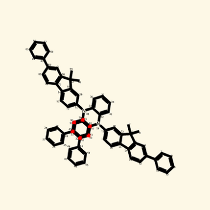 CC1(C)c2cc(-c3ccccc3)ccc2-c2ccc(N(c3ccc(-c4ccccc4)cc3)c3ccccc3N(c3ccc(-c4ccccc4)cc3)c3ccc4c(c3)C(C)(C)c3cc(-c5ccccc5)ccc3-4)cc21